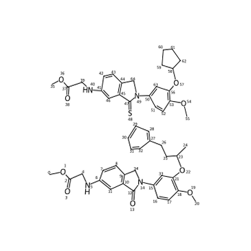 COC(=O)CNc1ccc2c(c1)C(=O)N(c1ccc(OC)c(OC(C)CCc3ccccc3)c1)C2.COC(=O)CNc1ccc2c(c1)C(=S)N(c1ccc(OC)c(OC3CCCC3)c1)C2